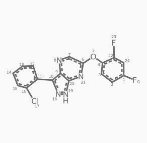 Fc1ccc(Oc2cnc3c(-c4ccccc4Cl)n[nH]c3n2)c(F)c1